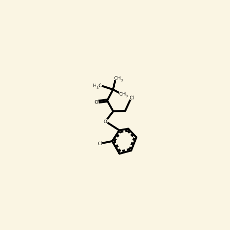 CC(C)(C)C(=O)C(CCl)Oc1ccccc1Cl